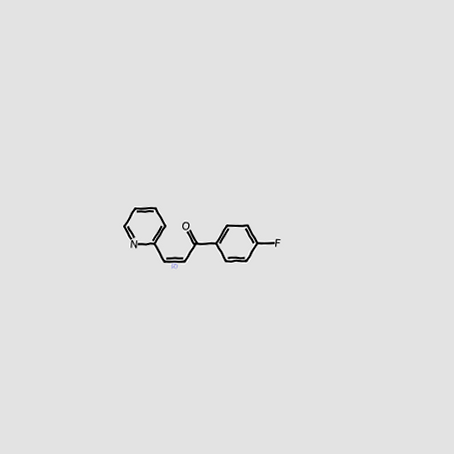 O=C(/C=C\c1ccccn1)c1ccc(F)cc1